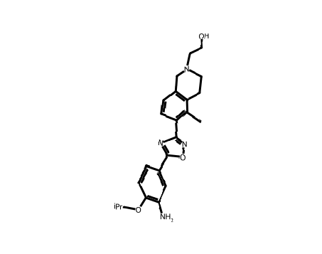 Cc1c(-c2noc(-c3ccc(OC(C)C)c(N)c3)n2)ccc2c1CCN(CCO)C2